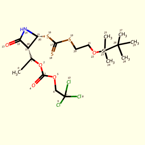 CC(OC(=O)OCC(Cl)(Cl)Cl)[C@@H]1C(=O)N[C@@H]1SC(=S)SCCO[Si](C)(C)C(C)(C)C